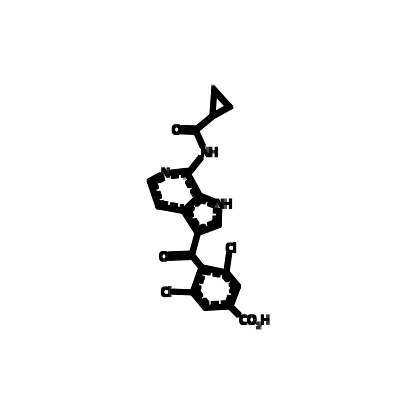 O=C(O)c1cc(Cl)c(C(=O)c2c[nH]c3c(NC(=O)C4CC4)nccc23)c(Cl)c1